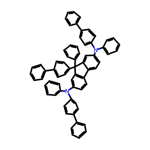 c1ccc(-c2ccc(N(c3ccccc3)c3ccc4c(c3)C(c3ccccc3)(c3ccc(-c5ccccc5)cc3)c3cc(N(c5ccccc5)c5ccc(-c6ccccc6)cc5)ccc3-4)cc2)cc1